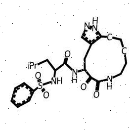 CC(C)CC(NS(=O)(=O)c1ccccc1)C(=O)NC1Cc2cn[nH]c2CCCCCNC(=O)C1=O